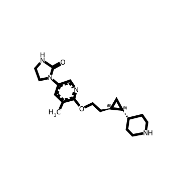 Cc1cc(N2CCNC2=O)cnc1OCC[C@H]1C[C@@H]1C1CCNCC1